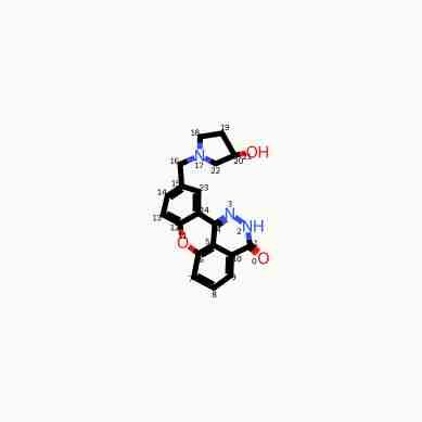 O=c1[nH]nc2c3c(cccc13)Oc1ccc(CN3CCC(O)C3)cc1-2